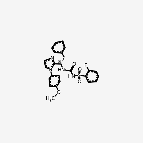 COc1ccc(-n2ccnc2[C@H](Cc2ccccc2)NC(=O)NS(=O)(=O)c2ccccc2F)cc1